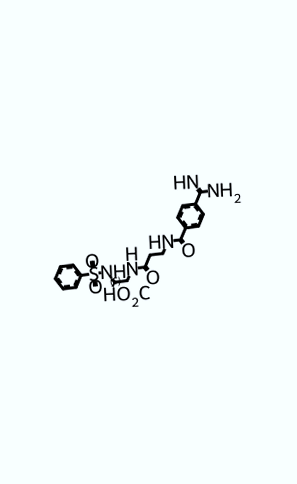 N=C(N)c1ccc(C(=O)NCCC(=O)NC[C@H](NS(=O)(=O)c2ccccc2)C(=O)O)cc1